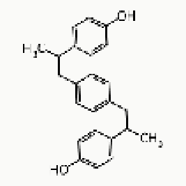 CC(Cc1ccc(CC(C)c2ccc(O)cc2)cc1)c1ccc(O)cc1